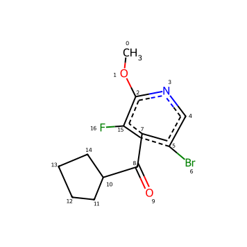 COc1ncc(Br)c(C(=O)C2CCCC2)c1F